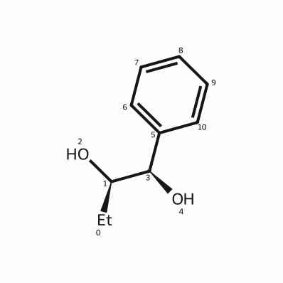 CC[C@@H](O)[C@H](O)c1ccccc1